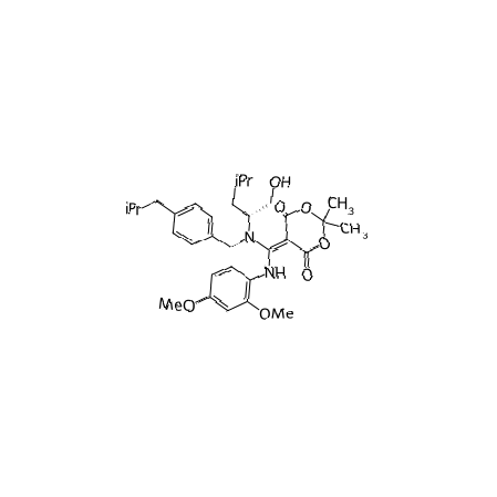 COc1ccc(NC(=C2C(=O)OC(C)(C)OC2=O)N(Cc2ccc(CC(C)C)cc2)[C@@H](CO)CC(C)C)c(OC)c1